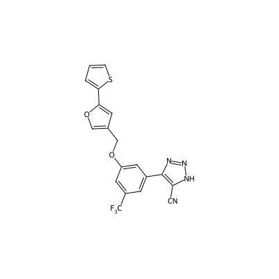 N#Cc1[nH]nnc1-c1cc(OCc2coc(-c3cccs3)c2)cc(C(F)(F)F)c1